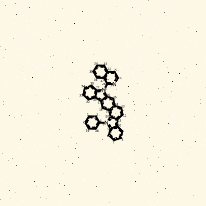 c1ccc(-n2c3ccccc3c3ccc4cc5c(cc4c32)c2ccccc2n5-c2nccc3ccccc23)cc1